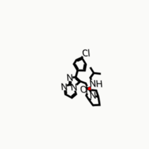 CC(C)CNC(=O)N1C2CCC1CN(Cc1c(-c3ccc(Cl)cc3)nc3ncccn13)C2